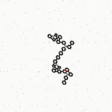 c1ccc(-c2ccc(N(c3cccc(-c4ccc5c(c4)C4(c6ccccc6-5)c5ccccc5-n5c6cc(-c7ccc(-c8ccc(-c9ccc(N(c%10cccc(-c%11ccccc%11)c%10)c%10cccc(-c%11cccc%12c%11-c%11ccccc%11C%12%11c%12ccccc%12-n%12c%13ccccc%13c%13cccc%11c%13%12)c%10)cc9)cc8)cc7)ccc6c6cccc4c65)c3)c3ccccc3-c3ccccc3)cc2)cc1